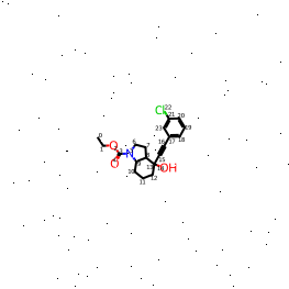 CCOC(=O)N1CCC2C1CCCC2(O)C#Cc1cccc(Cl)c1